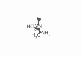 CC(N)c1nc(C2CC2)no1.Cl